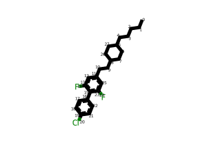 CCCCCC1CCC(CCc2cc(F)c(-c3ccc(Cl)cc3)c(F)c2)CC1